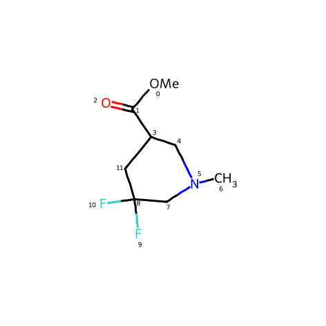 COC(=O)C1CN(C)CC(F)(F)C1